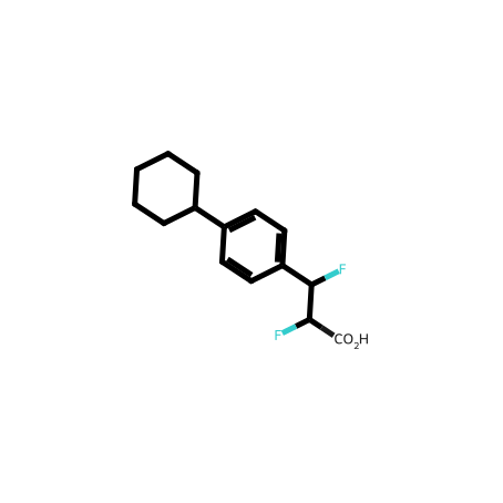 O=C(O)C(F)C(F)c1ccc(C2CCCCC2)cc1